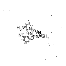 Cn1nc2nc(N3CCC[C@@H](N)C3)n(Cc3ccccc3C#N)c(=O)c2n1